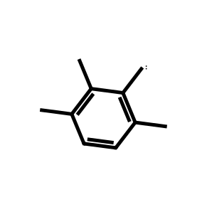 [CH]c1c(C)ccc(C)c1C